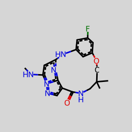 CNc1cc2nc3c(cnn13)C(=O)NCC(C)(C)COc1cc(F)cc(c1)N2